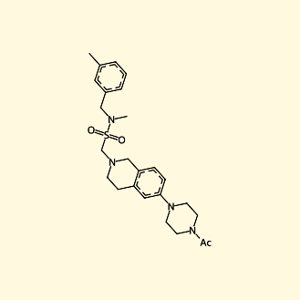 CC(=O)N1CCN(c2ccc3c(c2)CCN(CS(=O)(=O)N(C)Cc2cccc(C)c2)C3)CC1